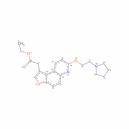 CCOC(=O)Cc1coc2ccc3nc(OCCN4CCCC4)ccc3c12